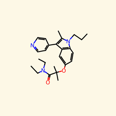 CCCn1c(C)c(-c2ccncc2)c2cc(OC(C)(C)C(=O)N(CC)CC)ccc21